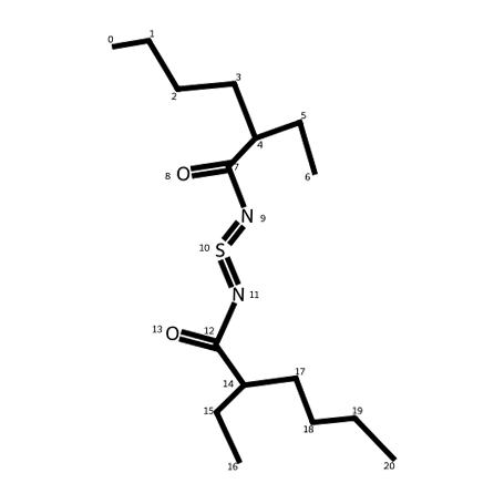 CCCCC(CC)C(=O)N=S=NC(=O)C(CC)CCCC